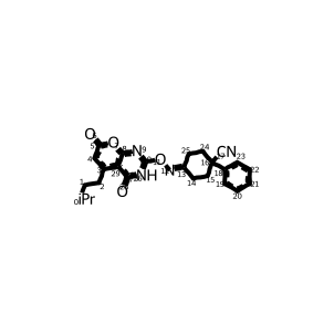 CC(C)CCc1cc(=O)oc2nc(ON=C3CCC(C#N)(c4ccccc4)CC3)[nH]c(=O)c12